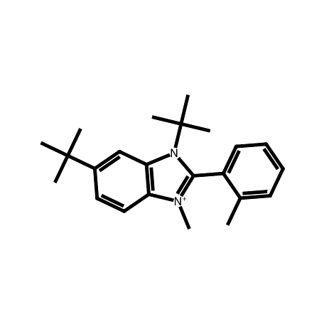 Cc1ccccc1-c1n(C(C)(C)C)c2cc(C(C)(C)C)ccc2[n+]1C